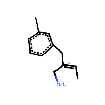 C/C=C(\CN)Cc1cccc(C)c1